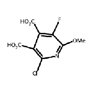 COc1nc(Cl)c(C(=O)O)c(C(=O)O)c1F